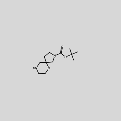 CC(C)(C)OC(=O)N1CCC2(CNCCO2)C1